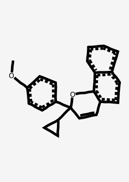 COc1ccc(C2(C3CC3)C=Cc3ccc4ccccc4c3O2)cc1